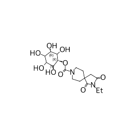 CCN1C(=O)CC2(CCN(C(=O)O[C@@H]3C(O)[C@H](O)C(O)C(O)[C@@H]3O)CC2)C1=O